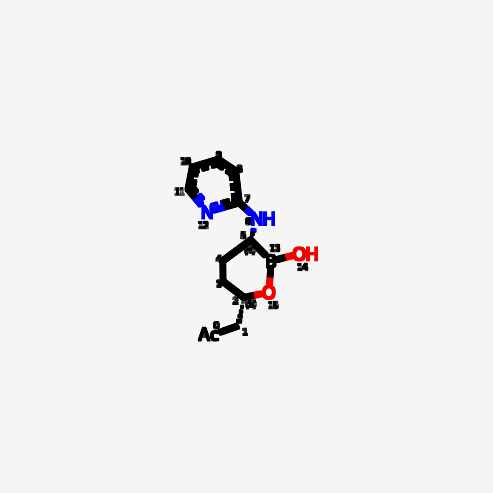 CC(=O)C[C@@H]1CC[C@H](Nc2ccccn2)B(O)O1